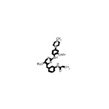 C=CC(=O)Nc1cccc(Cc2nc(Nc3ccc(N4CCN(C)CC4)cc3OC)ncc2OC)c1